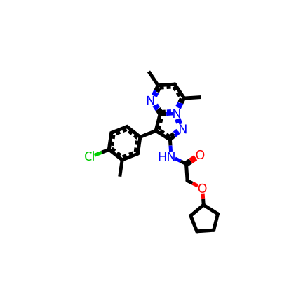 Cc1cc(C)n2nc(NC(=O)COC3CCCC3)c(-c3ccc(Cl)c(C)c3)c2n1